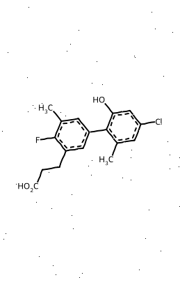 Cc1cc(-c2c(C)cc(Cl)cc2O)cc(CCC(=O)O)c1F